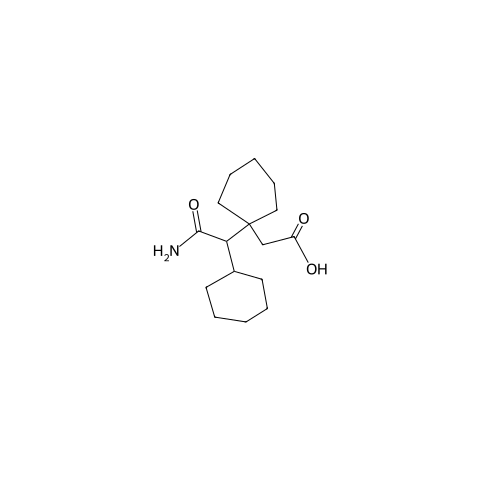 NC(=O)C(C1CCCCC1)C1(CC(=O)O)CCCCC1